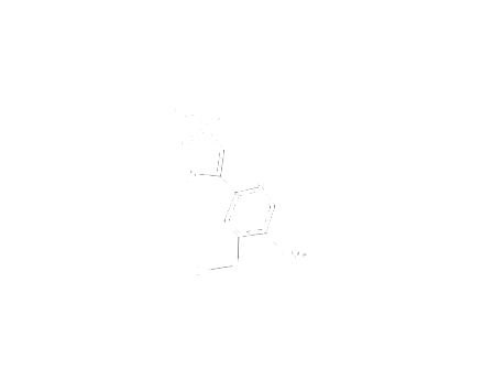 CCOc1cc(C(N)=CS(C)(=O)=O)ncc1OC